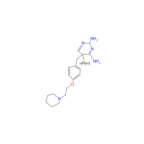 CCCCCC1(Cc2ccc(OCCN3CCCCC3)cc2)C=NC(N)N=C1N